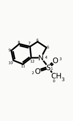 CS(=O)(=O)N1CCc2ccccc21